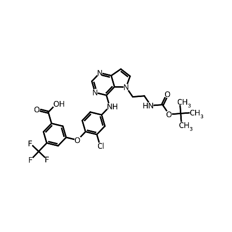 CC(C)(C)OC(=O)NCCn1ccc2ncnc(Nc3ccc(Oc4cc(C(=O)O)cc(C(F)(F)F)c4)c(Cl)c3)c21